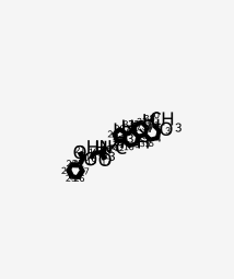 CN1C(=O)CC[C@]2(C)[C@H]3CC[C@]4(C)[C@@H](CNC(=O)COC(=O)c5ccccc5)CC[C@H]4[C@@H]3CC[C@@H]12